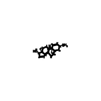 C[C@]12CC[C@H]3C(=C1C=C[C@@H]2O)CCC1C[C@@H](N)C=C[C@@]13C